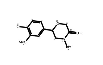 CCCN1CC(c2ccc(Cl)c(OC)c2)OCC1=O